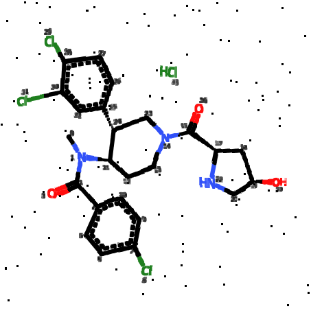 CN(C(=O)c1ccc(Cl)cc1)[C@@H]1CCN(C(=O)[C@H]2C[C@@H](O)CN2)C[C@H]1c1ccc(Cl)c(Cl)c1.Cl